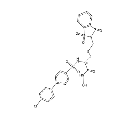 O=C(NO)[C@@H](CSCN1C(=O)c2ccccc2S1(=O)=O)NS(=O)(=O)c1ccc(-c2ccc(Cl)cc2)cc1